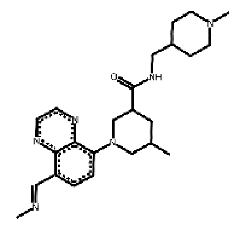 C/N=C/c1ccc(N2CC(C)CC(C(=O)NCC3CCN(C)CC3)C2)c2nccnc12